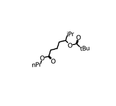 CCCOC(=O)CCCC(OC(=O)C(C)(C)C)C(C)C